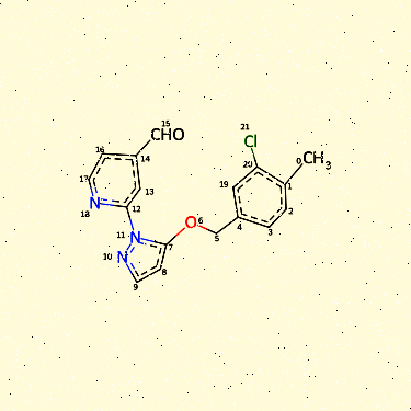 Cc1ccc(COc2ccnn2-c2cc(C=O)ccn2)cc1Cl